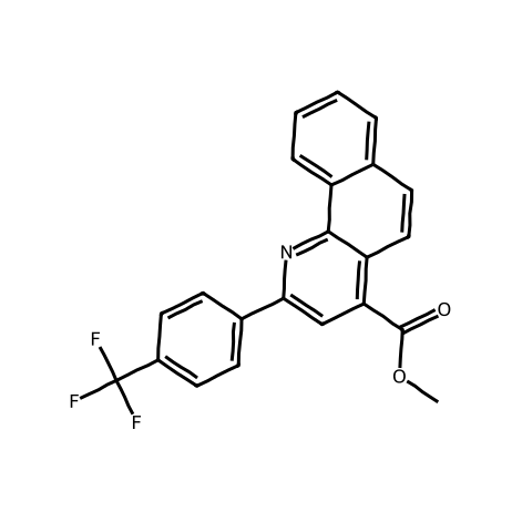 COC(=O)c1cc(-c2ccc(C(F)(F)F)cc2)nc2c1ccc1ccccc12